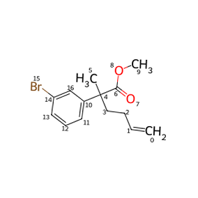 C=CCCC(C)(C(=O)OC)c1cccc(Br)c1